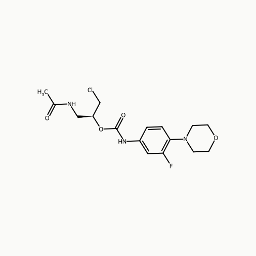 CC(=O)NC[C@@H](CCl)OC(=O)Nc1ccc(N2CCOCC2)c(F)c1